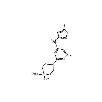 COC1(C(=O)O)CCC(c2nc(C)cc(Nc3cc(C)[nH]n3)n2)CC1